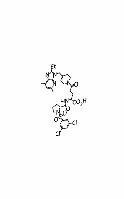 CCc1nc2c(C)cc(C)nc2n1CC1CCN(C(=O)CCC(NC(=O)[C@@H]2CCCN2S(=O)(=O)c2cc(Cl)cc(Cl)c2)C(=O)O)CC1